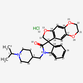 CC(C)N1CCC(CN2C(=O)C3(COc4cc5c(cc43)OCCO5)c3ccccc32)CC1.Cl